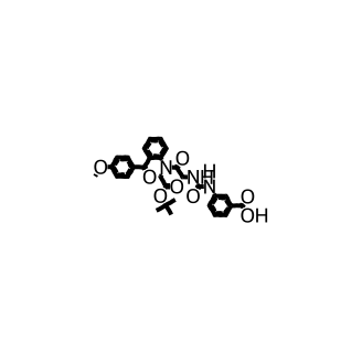 COc1ccc(C(=O)c2ccccc2N(CC(=O)OC(C)(C)C)C(=O)CNC(=O)Nc2cccc(C(=O)O)c2)cc1